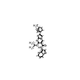 CC(C)Oc1nc2nc([C@]34CC[C@](C)(C3)OC4)cn2cc1C(=O)Nc1cnn2cccnc12